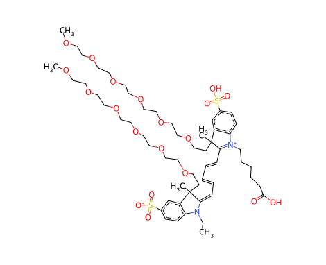 CCN1/C(=C/C=C/C=C/C2=[N+](CCCCCC(=O)O)c3ccc(S(=O)(=O)O)cc3C2(C)CCOCCOCCOCCOCCOCCOC)C(C)(CCOCCOCCOCCOCCOCCOC)c2cc(S(=O)(=O)[O-])ccc21